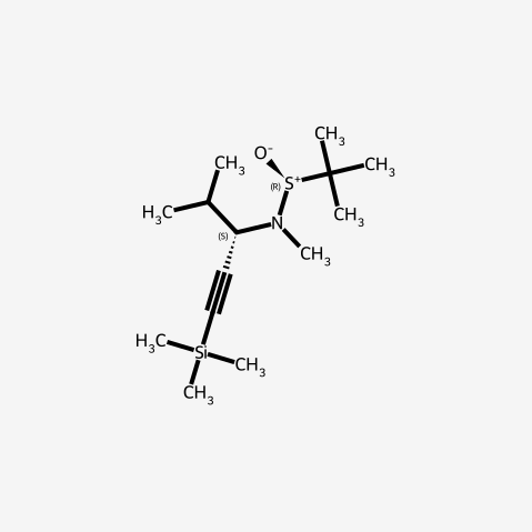 CC(C)[C@@H](C#C[Si](C)(C)C)N(C)[S@@+]([O-])C(C)(C)C